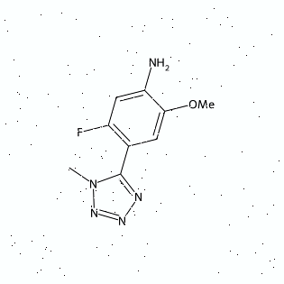 COc1cc(-c2nnnn2C)c(F)cc1N